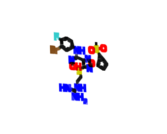 CS(=O)(=O)c1c2cccc1-2.N=C(N)NCCSc1nonc1C(=NO)Nc1ccc(F)c(Br)c1